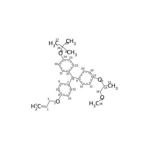 C=CCOc1ccc(C(c2ccc(OC(C)COC)cc2)c2ccc(OC(C)(C)C)cc2)cc1